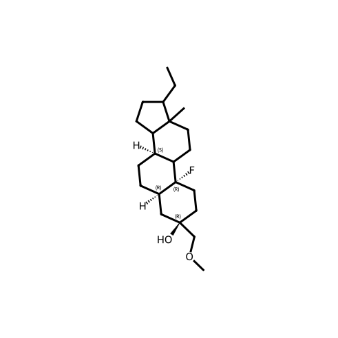 CCC1CCC2[C@@H]3CC[C@@H]4C[C@@](O)(COC)CC[C@]4(F)C3CCC12C